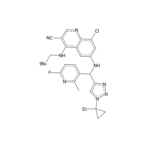 CCC1(n2cc(C(Nc3cc(Cl)c4ncc(C#N)c(NCC(C)(C)C)c4c3)c3ccc(F)nc3C)nn2)CC1